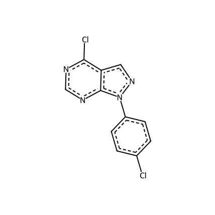 Clc1ccc(-n2ncc3c(Cl)ncnc32)cc1